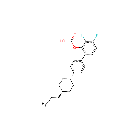 CCC[C@H]1CC[C@H](c2ccc(-c3ccc(F)c(F)c3OC(=O)O)cc2)CC1